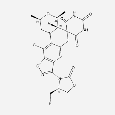 C[C@@H]1CN2c3c(cc4c(N5C(=O)OC[C@H]5CF)noc4c3F)CC3(C(=O)NC(=O)NC3=O)[C@H]2[C@H](C)O1